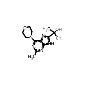 Cc1nc(N2CCOCC2)c2nc(C(C)(C)O)[nH]c2n1